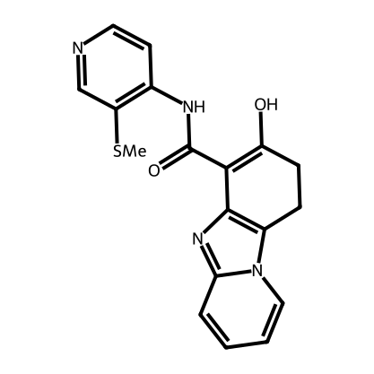 CSc1cnccc1NC(=O)C1=C(O)CCc2c1nc1ccccn21